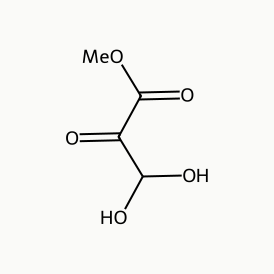 COC(=O)C(=O)C(O)O